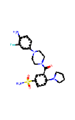 Nc1ccc(N2CCN(C(=O)c3cc(S(N)(=O)=O)ccc3N3CCCC3)CC2)cc1F